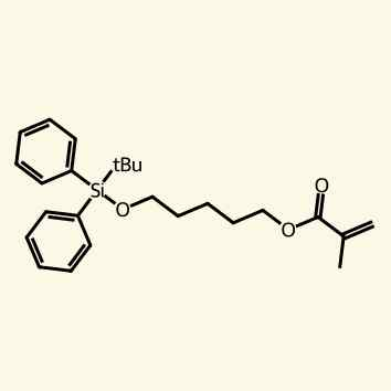 C=C(C)C(=O)OCCCCCO[Si](c1ccccc1)(c1ccccc1)C(C)(C)C